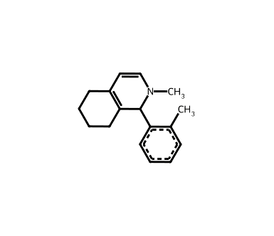 Cc1ccccc1C1C2=C(C=CN1C)CCCC2